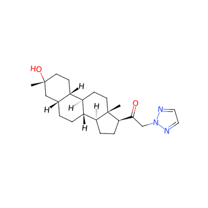 C[C@@]1(O)CC[C@H]2[C@H](CC[C@@H]3[C@@H]2CC[C@]2(C)[C@@H](C(=O)Cn4nccn4)CC[C@@H]32)C1